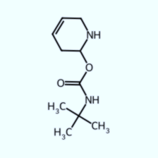 CC(C)(C)NC(=O)OC1CC=CCN1